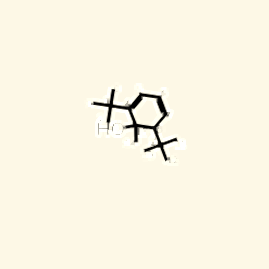 CC(C)(C)C1=CC=CC(C(C)(C)C)C1(C)O